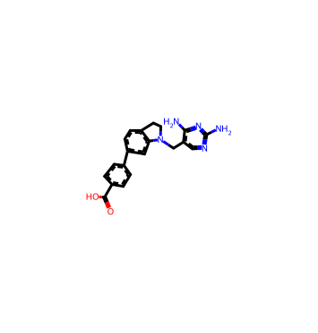 Nc1ncc(CN2CCc3ccc(-c4ccc(C(=O)O)cc4)cc32)c(N)n1